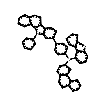 c1ccc(-n2c3cc(-c4ccc(N(c5ccc6ccc7ccccc7c6c5)c5cccc6sc7ccccc7c56)cc4)ccc3c3ccc4ccccc4c32)cc1